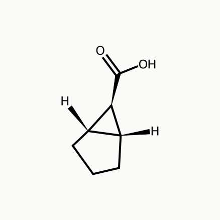 O=C(O)[C@H]1[C@@H]2CCC[C@@H]21